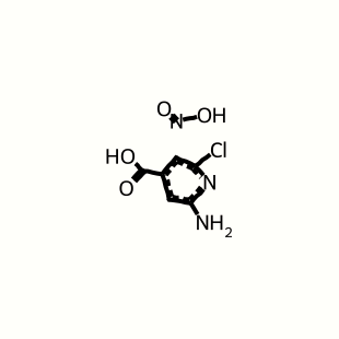 Nc1cc(C(=O)O)cc(Cl)n1.O=NO